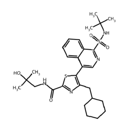 CC(C)(O)CNC(=O)c1nc(CC2CCCCC2)c(-c2cnc(S(=O)(=O)NC(C)(C)C)c3ccccc23)s1